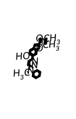 CN(C)C(=O)c1cc2cc(O)c(-c3ccc(N(C)C4CCCCC4)nn3)cc2o1